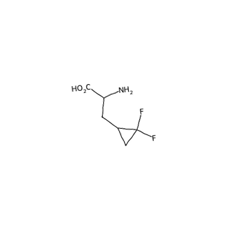 NC(CC1CC1(F)F)C(=O)O